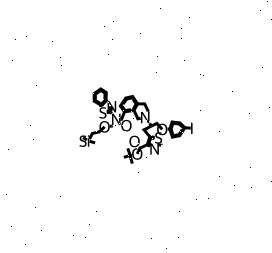 CC(C)(C)OC(=O)c1ncsc1CC(COc1ccc(I)cc1)N1CCc2cccc(C(=O)N(COCC[Si](C)(C)C)c3nc4ccccc4s3)c2C1